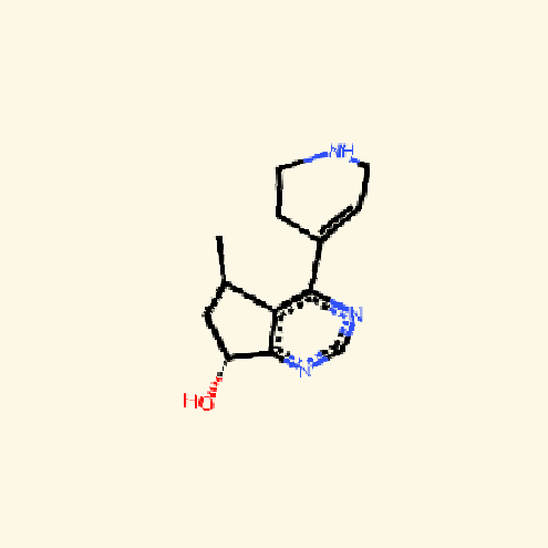 C[C@@H]1C[C@@H](O)c2ncnc(C3=CCNCC3)c21